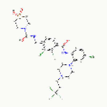 O=C(Nc1ccc(Cl)cc1N1CCN(CCC(F)(F)F)CC1)c1ccc(CNC(=O)N2CCS(=O)(=O)CC2)c(F)c1F